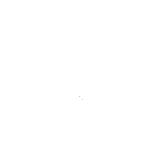 OC1Oc2ccccc2CN1Cl